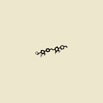 C=CC1CC=C(c2ccc(CCc3ccc(-c4ccc(C5CO5)c(F)c4F)cc3)c(F)c2F)CC1